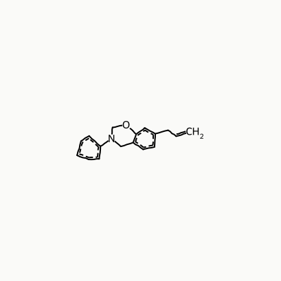 C=CCc1ccc2c(c1)OCN(c1ccccc1)C2